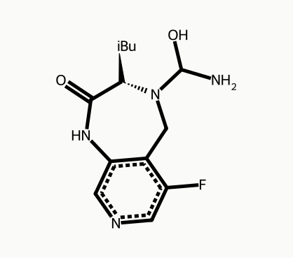 CC[C@H](C)[C@H]1C(=O)Nc2cncc(F)c2CN1C(N)O